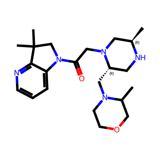 CC1COCCN1C[C@H]1CN[C@H](C)CN1CC(=O)N1CC(C)(C)c2ncccc21